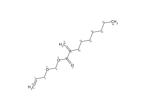 C=CCOCOC(=O)C(=C)CCCCCCC